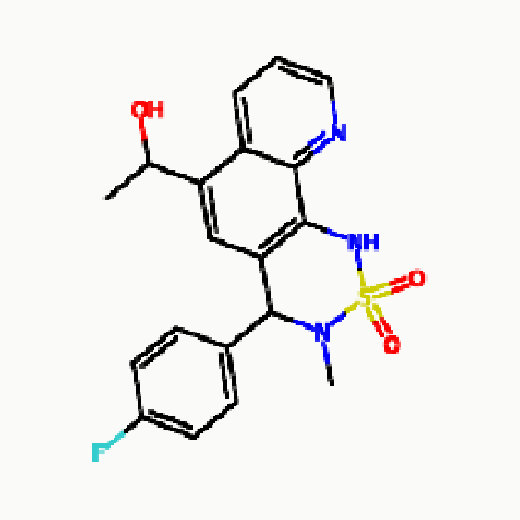 CC(O)c1cc2c(c3ncccc13)NS(=O)(=O)N(C)C2c1ccc(F)cc1